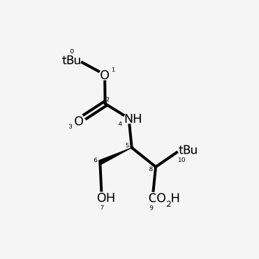 CC(C)(C)OC(=O)N[C@H](CO)C(C(=O)O)C(C)(C)C